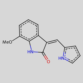 COc1cccc2c1NC(=O)C2=Cc1ccc[nH]1